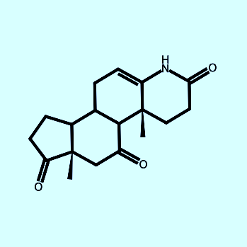 C[C@]12CCC(=O)NC1=CCC1C2C(=O)C[C@]2(C)C(=O)CCC12